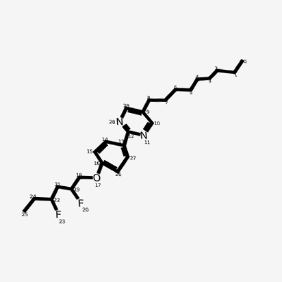 CCCCCCCCCc1cnc(-c2ccc(OCC(F)CC(F)CC)cc2)nc1